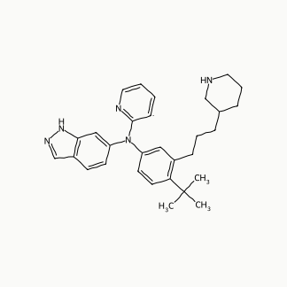 CC(C)(C)c1ccc(N(c2ccc3cn[nH]c3c2)c2[c]cccn2)cc1CCCC1CCCNC1